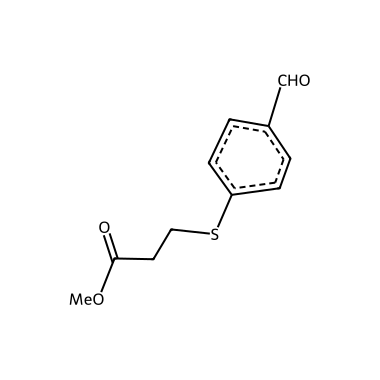 COC(=O)CCSc1ccc(C=O)cc1